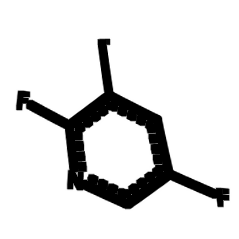 [CH2]c1cc(F)cnc1F